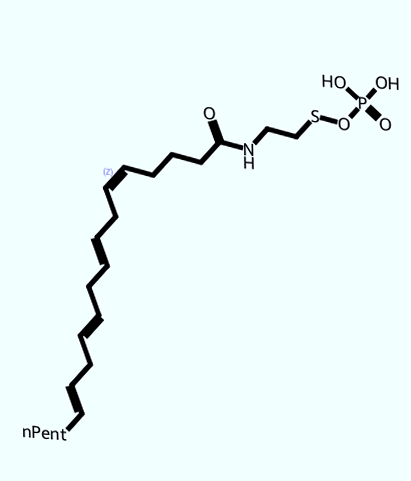 CCCCCC=CCC=CCC=CC/C=C\CCCC(=O)NCCSOP(=O)(O)O